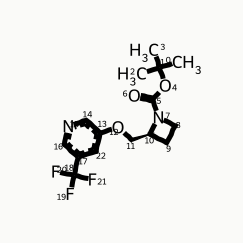 CC(C)(C)OC(=O)N1CC[C@H]1COc1cncc(C(F)(F)F)c1